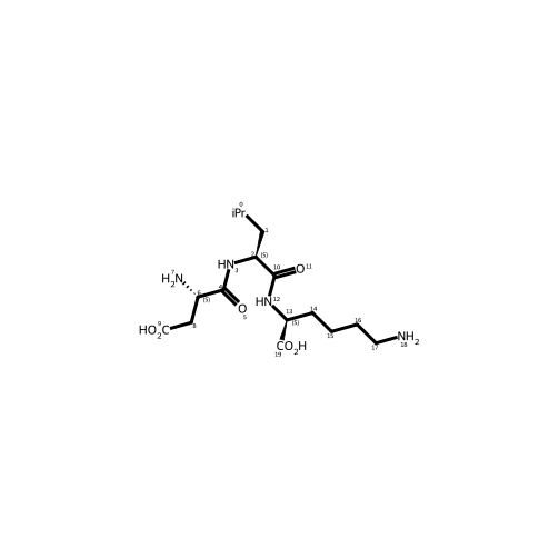 CC(C)C[C@H](NC(=O)[C@@H](N)CC(=O)O)C(=O)N[C@@H](CCCCN)C(=O)O